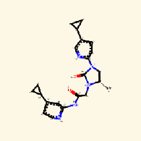 CC(C)[C@H]1CN(c2ccc(C3CC3)cn2)C(=O)N1CC(=O)Nc1cc(C2CC2)ccn1